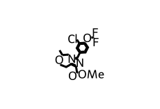 COC(=O)c1nc(-c2ccc(OC(F)F)c(Cl)c2)n2c1CCOC(C)C2